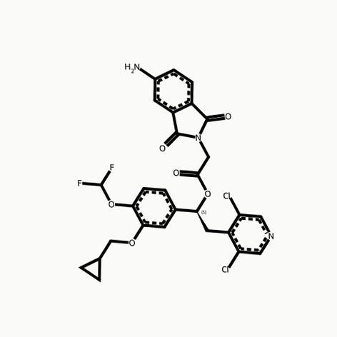 Nc1ccc2c(c1)C(=O)N(CC(=O)O[C@@H](Cc1c(Cl)cncc1Cl)c1ccc(OC(F)F)c(OCC3CC3)c1)C2=O